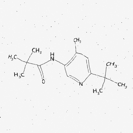 Cc1cc(C(C)(C)C)ncc1NC(=O)C(C)(C)C